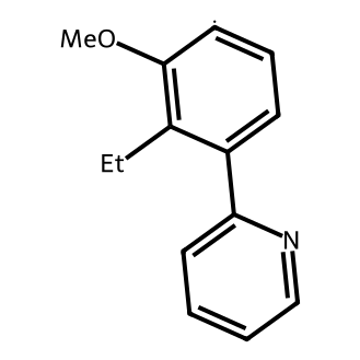 CCc1c(OC)[c]ccc1-c1ccccn1